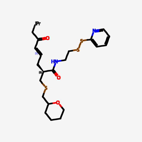 CC(C)CC(=O)/C=C/C[C@H](CSCC1CCCCO1)C(=O)NCCSSc1ccccn1